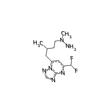 CC(CCN(C)N)Cc1cc(C(F)F)nc2ncnn12